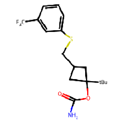 CC(C)(C)C1(OC(N)=O)CC(CSc2cccc(C(F)(F)F)c2)C1